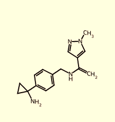 C=C(NCc1ccc(C2(N)CC2)cc1)c1cnn(C)c1